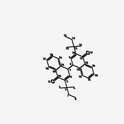 CCC(C)(C)C1=CC(C2C=C(C(C)(C)CC)C(=O)c3ccccc32)c2ccccc2C1=O